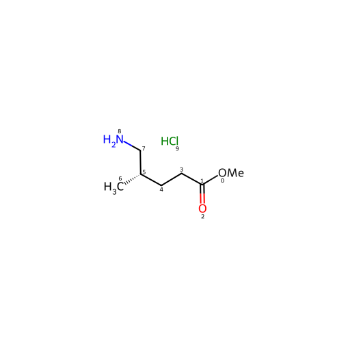 COC(=O)CC[C@H](C)CN.Cl